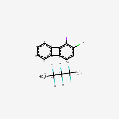 Clc1ccc2c(c1I)-c1ccccc1-2.O=S(=O)(O)C(F)(F)C(F)(F)C(F)(F)C(F)(F)F